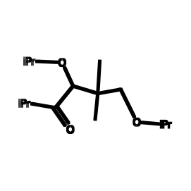 CC(C)OCC(C)(C)C(OC(C)C)C(=O)C(C)C